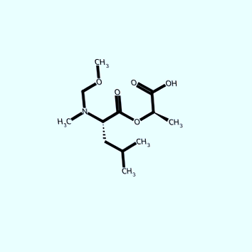 COCN(C)[C@@H](CC(C)C)C(=O)O[C@H](C)C(=O)O